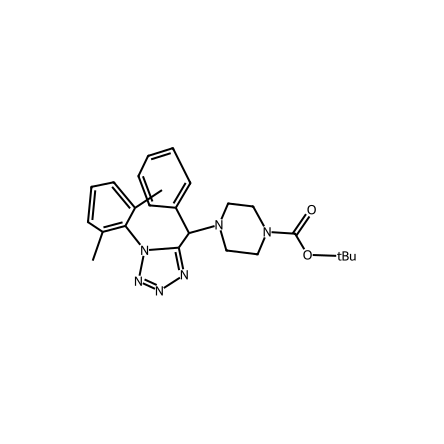 Cc1cccc(C)c1-n1nnnc1C(c1ccccc1)N1CCN(C(=O)OC(C)(C)C)CC1